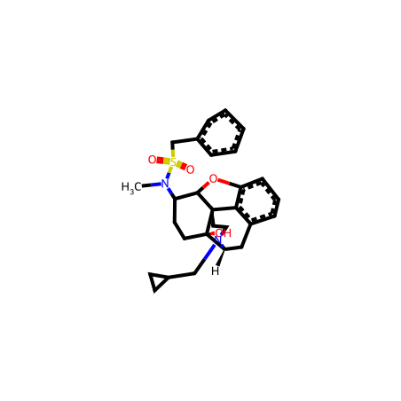 CN(C1CC[C@@]2(O)[C@H]3Cc4cccc5c4[C@@]2(CCN3CC2CC2)C1O5)S(=O)(=O)Cc1ccccc1